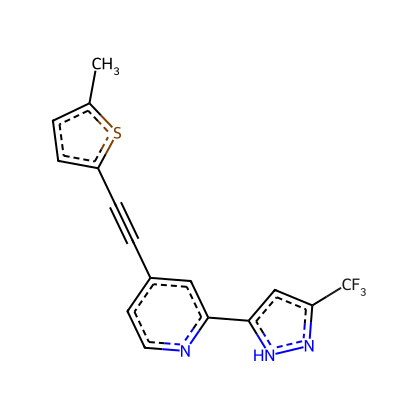 Cc1ccc(C#Cc2ccnc(-c3cc(C(F)(F)F)n[nH]3)c2)s1